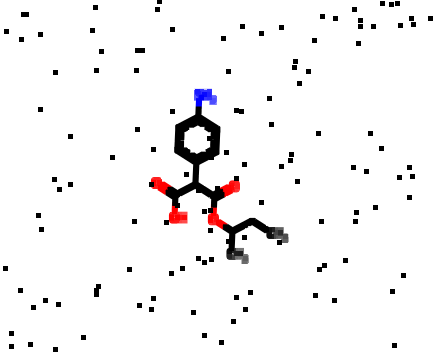 CCC(C)OC(=O)C(C(=O)O)c1ccc(N)cc1